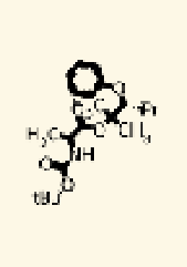 CC(NC(=O)OC(C)(C)C)C(=O)OC(C)(C)[C@H](Oc1ccccc1)C(C)C